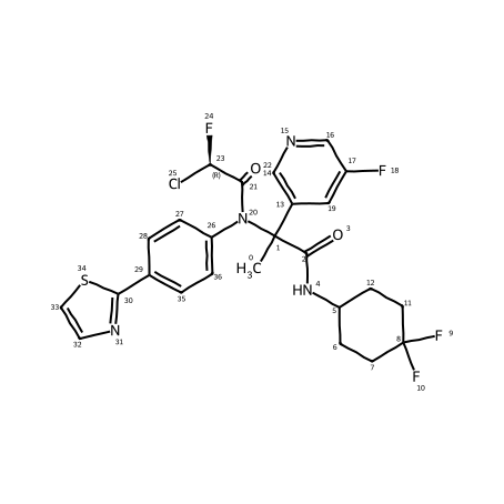 CC(C(=O)NC1CCC(F)(F)CC1)(c1cncc(F)c1)N(C(=O)[C@H](F)Cl)c1ccc(-c2nccs2)cc1